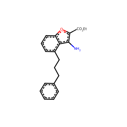 CCOC(=O)c1oc2cccc(CCCc3ccccc3)c2c1N